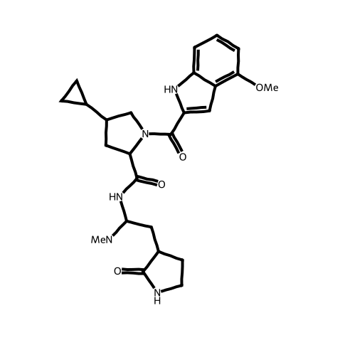 CNC(CC1CCNC1=O)NC(=O)C1CC(C2CC2)CN1C(=O)c1cc2c(OC)cccc2[nH]1